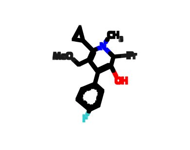 COCC1=C(C2CC2)N(C)C(C(C)C)C(O)=C1c1ccc(F)cc1